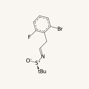 CC(C)(C)[S@@+]([O-])/N=C/Cc1c(F)cccc1Br